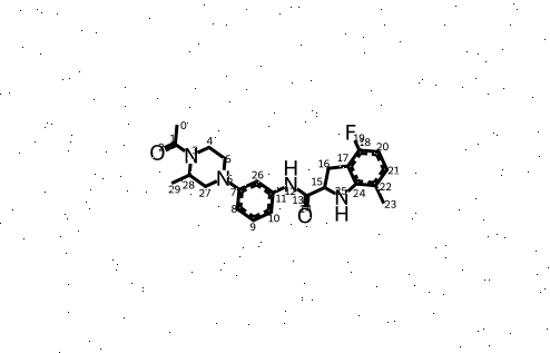 CC(=O)N1CCN(c2cccc(NC(=O)C3Cc4c(F)ccc(C)c4N3)c2)CC1C